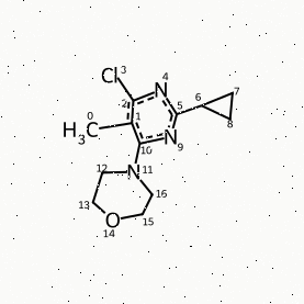 Cc1c(Cl)nc(C2CC2)nc1N1CCOCC1